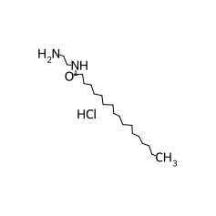 CCCCCCCCCCCCCCCCCC(=O)NCCN.Cl